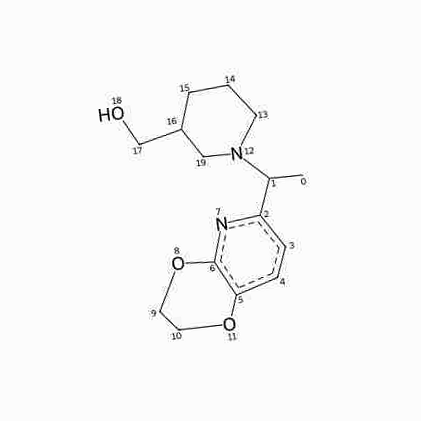 CC(c1ccc2c(n1)OCCO2)N1CCCC(CO)C1